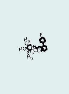 CC1CN(CC(C)(O)Cc2ccccc2-c2ccc(F)cc2)CC(C)C1O